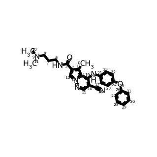 Cc1c(C(=O)NCCCN(C)C)cn2ncc(C#N)c(Nc3ccc(Oc4ccccc4)cc3)c12